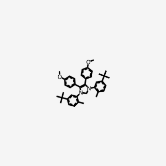 COc1ccc(C2=C(c3ccc(OC)cc3)N(c3cc(C(C)(C)C)ccc3C)CN2c2cc(C(C)(C)C)ccc2C)cc1